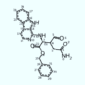 NC(=O)CC(C=O)[C@H](Nc1nccc2c1[nH]c1ccccc12)C(=O)OCc1ccccc1